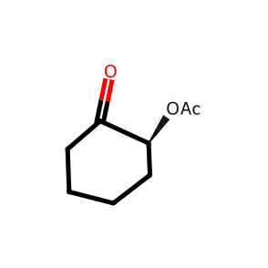 CC(=O)O[C@H]1CCCCC1=O